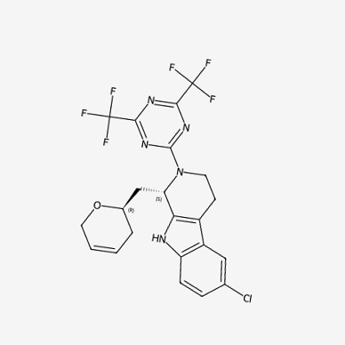 FC(F)(F)c1nc(N2CCc3c([nH]c4ccc(Cl)cc34)[C@@H]2C[C@H]2CC=CCO2)nc(C(F)(F)F)n1